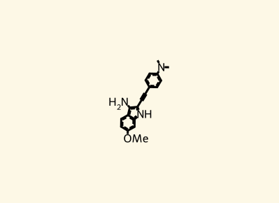 COc1ccc2c(N)c(C#Cc3ccc(N(C)C)cc3)[nH]c2c1